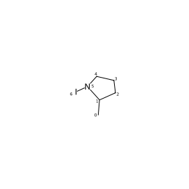 CC1CCCN1I